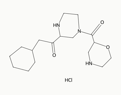 Cl.O=C(CC1CCCCC1)C1CN(C(=O)C2CNCCO2)CCN1